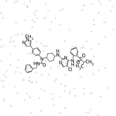 CC(C)S(=O)(=O)c1ccccc1Nc1nc(NC2CCC(N(C(=O)NCc3ccccc3)c3ccc(-c4cnn(C)c4)cc3)CC2)ncc1Cl